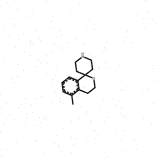 Cc1cccc2c1CCOC21CCNCC1